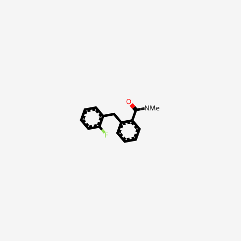 CNC(=O)c1ccccc1Cc1ccccc1F